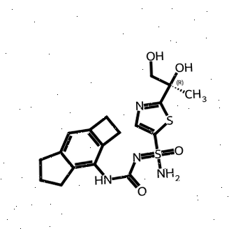 C[C@@](O)(CO)c1ncc(S(N)(=O)=NC(=O)Nc2c3c(cc4c2CC4)CCC3)s1